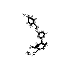 Cc1cc(CC(=O)O)c(F)cc1-c1cccc(OCc2ccc(C#N)cc2F)n1